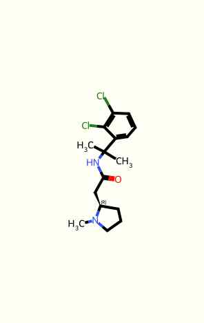 CN1CCC[C@@H]1CC(=O)NC(C)(C)c1cccc(Cl)c1Cl